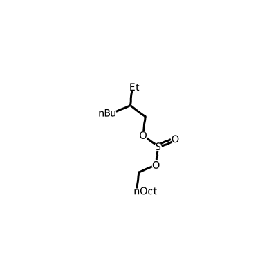 CCCCCCCCCOS(=O)OCC(CC)CCCC